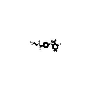 COCCNC(=O)c1ccc(-n2nc(C)c3c2CC(C)(C)CC3=O)cc1